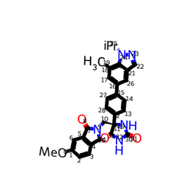 COc1ccc2c(c1)C(=O)N(C[C@@]1(c3ccc(-c4cc(C)c5c(cnn5C(C)C)c4)cc3)NC(=O)NC1=O)C2